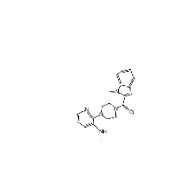 CNc1cccnc1N1CCN(C(=O)c2cc3ccccc3n2C)CC1